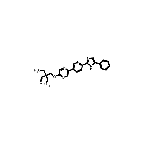 CCC(C=O)(CC)COc1cnc(-c2ccc(-c3ncc(-c4ccccc4)[nH]3)nc2)cn1